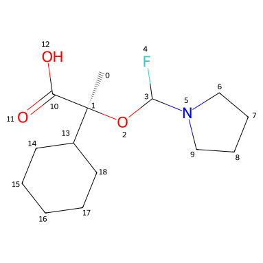 C[C@@](OC(F)N1CCCC1)(C(=O)O)C1CCCCC1